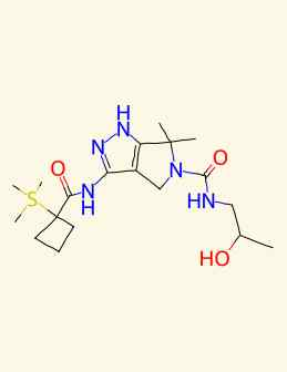 CC(O)CNC(=O)N1Cc2c(NC(=O)C3(S(C)(C)C)CCC3)n[nH]c2C1(C)C